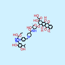 CCOC(O)c1nnc(-c2cc(C(C)C)c(O)cc2O)n1-c1ccc(CN2CCC(C(=O)NC3C[C@H](OC4C[C@](O)(C(=O)CO)Cc5c(O)c6c(c(O)c54)C(=O)c4c(OC)cccc4C6=O)O[C@@H](C)[C@H]3O)CC2)cc1